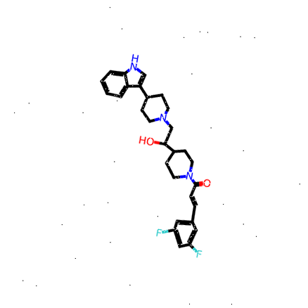 O=C(C=Cc1cc(F)cc(F)c1)N1CCC(C(O)CN2CCC(c3c[nH]c4ccccc34)CC2)CC1